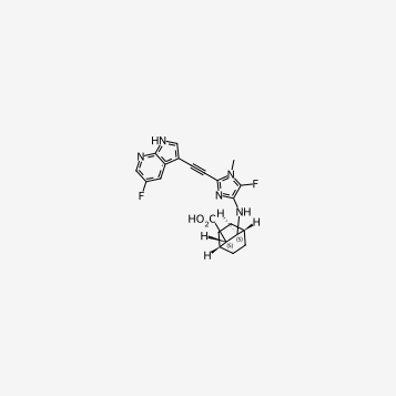 Cn1c(C#Cc2c[nH]c3ncc(F)cc23)nc(N[C@H]2[C@H]3CC[C@H](CC3)[C@@H]2C(=O)O)c1F